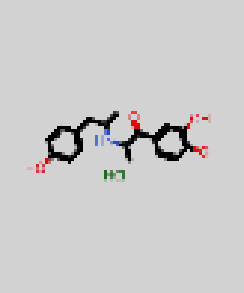 CC(Cc1ccc(O)cc1)NC(C)C(=O)c1ccc(O)c(O)c1.Cl